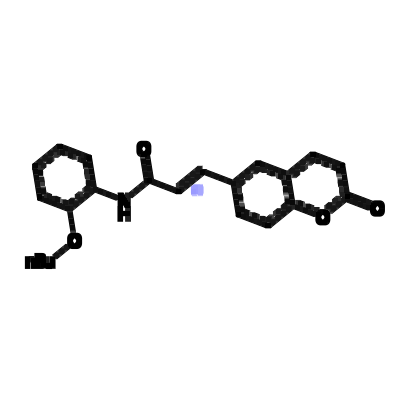 CCCCOc1ccccc1NC(=O)/C=C/c1ccc2oc(=O)ccc2c1